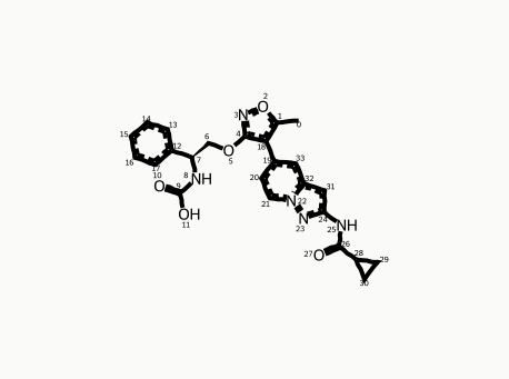 Cc1onc(OC[C@@H](NC(=O)O)c2ccccc2)c1-c1ccn2nc(NC(=O)C3CC3)cc2c1